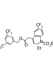 CCOC(=O)N1c2ccc(C(F)(F)F)cc2C(CC(=O)OCc2cc(C(F)(F)F)cc(C(F)(F)F)c2)=C[C@H]1CC